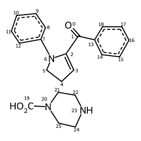 O=C(C1=CCCN1c1ccccc1)c1ccccc1.O=C(O)N1CCNCC1